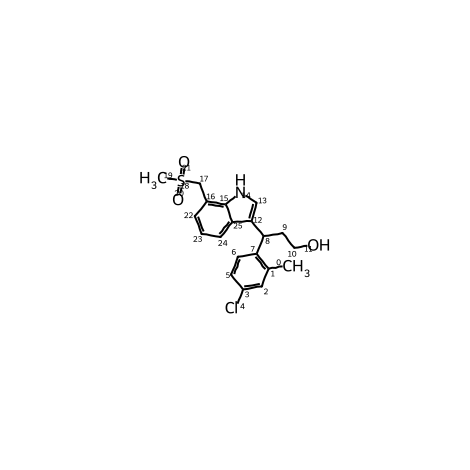 Cc1cc(Cl)ccc1C(CCO)c1c[nH]c2c(CS(C)(=O)=O)cccc12